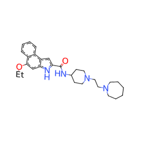 CCOc1cc2[nH]c(C(=O)NC3CCN(CCN4CCCCCC4)CC3)cc2c2ccccc12